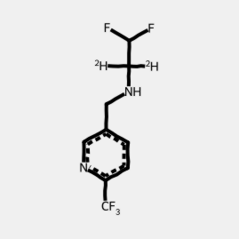 [2H]C([2H])(NCc1ccc(C(F)(F)F)nc1)C(F)F